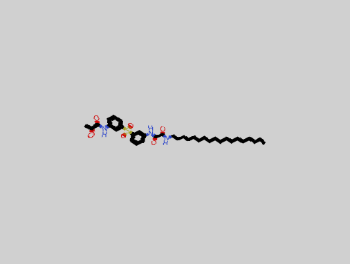 CCCCCCCCCCCCCCCCCCNC(=O)C(=O)Nc1cccc(S(=O)(=O)c2cccc(NC(=O)C(C)=O)c2)c1